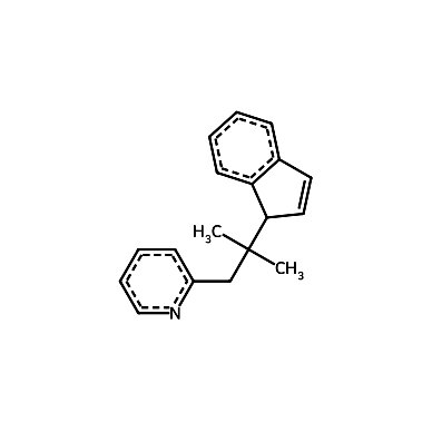 CC(C)(Cc1ccccn1)C1C=Cc2ccccc21